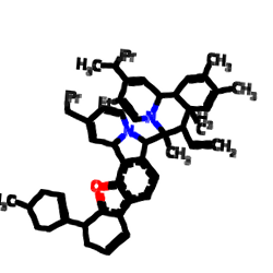 C=CC1C2(C)C=C(C)C(C)=CC2C2C=C(C(C)C(C)C)C(CC)=CN2C1(C)C1c2ccc3c4c(oc3c2C2C=C(CC(C)C)C=CN21)C(C1=CCC(C)CC1)CC=C4